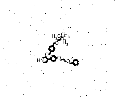 CC(C)(C)CCOCc1ccc(COC2CNCCC2c2ccc(OCCCOCc3ccccc3)cc2)cc1